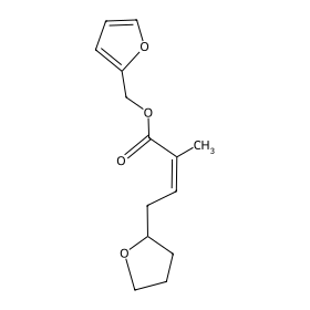 CC(=CCC1CCCO1)C(=O)OCc1ccco1